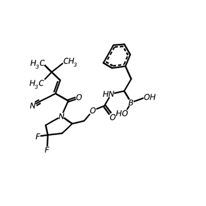 CC(C)(C)/C=C(\C#N)C(=O)N1CC(F)(F)CC1COC(=O)NC(Cc1ccccc1)B(O)O